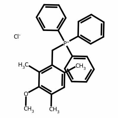 COc1c(C)cc(C)c(C[P+](c2ccccc2)(c2ccccc2)c2ccccc2)c1C.[Cl-]